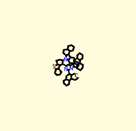 c1ccc2cc3c(cc2c1)c1c2ccccc2ccc1n3-c1ccc2sc3ccccc3c2c1-c1cc(-c2cc3ccccc3c3ccccc23)nc(-c2cc3ccccc3c3ccccc23)n1